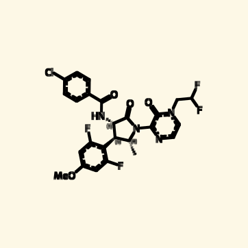 COc1cc(F)c([C@H]2[C@H](NC(=O)c3ccc(Cl)cc3)C(=O)N(c3nccn(CC(F)F)c3=O)[C@@H]2C)c(F)c1